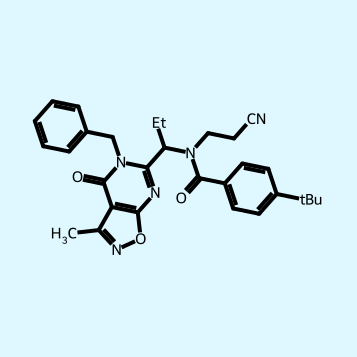 CCC(c1nc2onc(C)c2c(=O)n1Cc1ccccc1)N(CCC#N)C(=O)c1ccc(C(C)(C)C)cc1